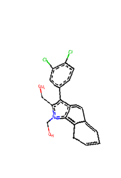 OCc1c(-c2ccc(Cl)c(Cl)c2)c2c(n1CO)=C1CC=CC=C1C=2